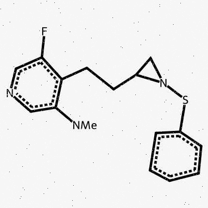 CNc1cncc(F)c1CCC1CN1Sc1ccccc1